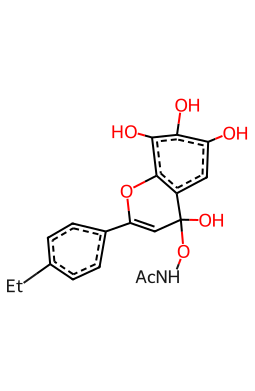 CCc1ccc(C2=CC(O)(ONC(C)=O)c3cc(O)c(O)c(O)c3O2)cc1